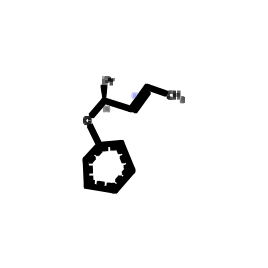 C/C=C/[C@@H](Oc1ccccc1)C(C)C